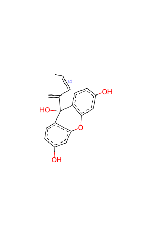 C=C(/C=C\C)C1(O)c2ccc(O)cc2Oc2cc(O)ccc21